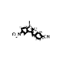 N#Cc1ccc(C=C2C(=O)Nc3ccc([N+](=O)[O-])cc32)cc1